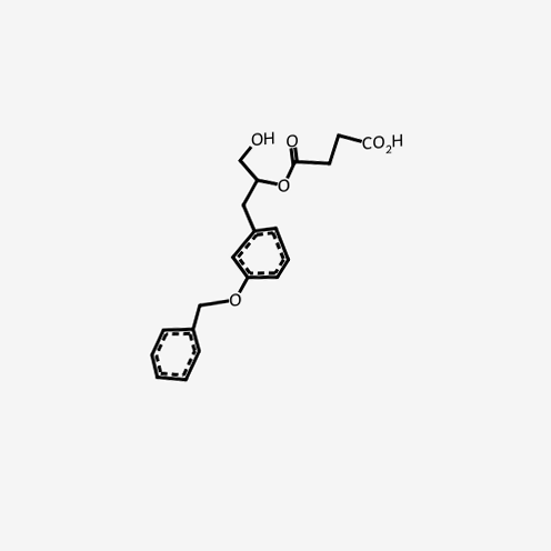 O=C(O)CCC(=O)OC(CO)Cc1cccc(OCc2ccccc2)c1